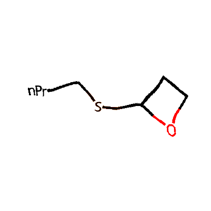 [CH2]CCCSC1CCO1